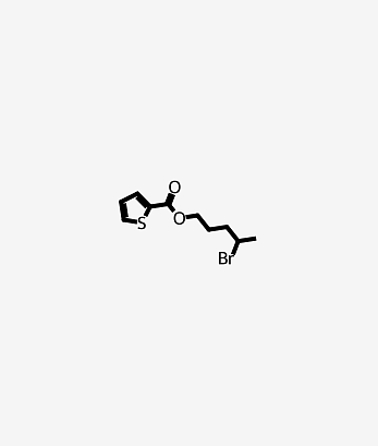 CC(Br)CCCOC(=O)c1cccs1